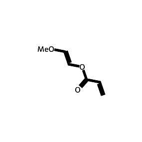 C=CC(=O)OC=COC